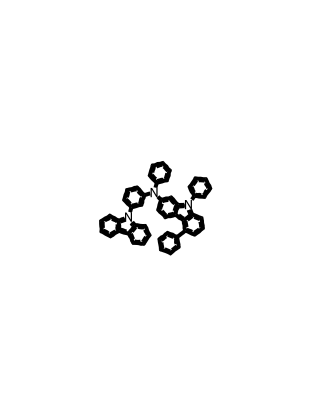 c1ccc(-c2cccc3c2c2ccc(N(c4ccccc4)c4cccc(-n5c6ccccc6c6ccccc65)c4)cc2n3-c2ccccc2)cc1